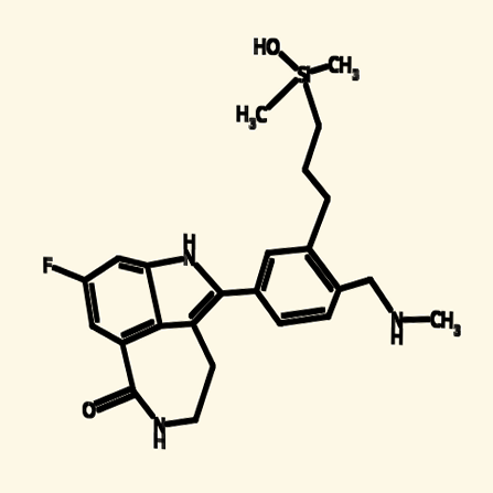 CNCc1ccc(-c2[nH]c3cc(F)cc4c3c2CCNC4=O)cc1CCC[Si](C)(C)O